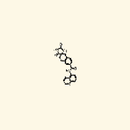 O=C1NC(=O)C2(CCc3cc(C(=O)Nc4cccc5ncccc45)ccc3C2)N1